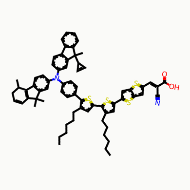 CCCCCCc1cc(-c2sc(-c3cc4sc(/C=C(\C#N)C(=O)O)cc4s3)cc2CCCCCC)sc1-c1ccc(N(c2ccc3c(c2)C(C)(C)C2=C3C(C)CC=C2)c2ccc3c(c2)C(C)(C2C=C2)c2ccccc2-3)cc1